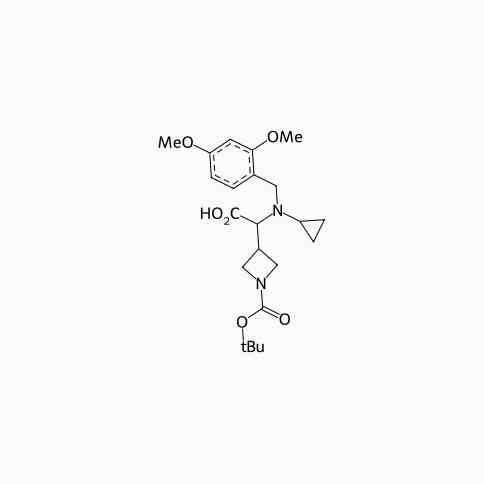 COc1ccc(CN(C2CC2)C(C(=O)O)C2CN(C(=O)OC(C)(C)C)C2)c(OC)c1